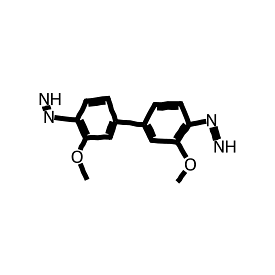 COc1cc(-c2ccc(N=N)c(OC)c2)ccc1N=N